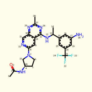 CC(=O)N[C@@H]1CCN(c2cc3c(NC(C)c4cc(N)cc(C(F)(F)F)c4)nc(C)nc3cn2)C1